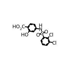 O=C(O)c1ccc(NS(=O)(=O)c2cccc(Cl)c2Cl)cc1O